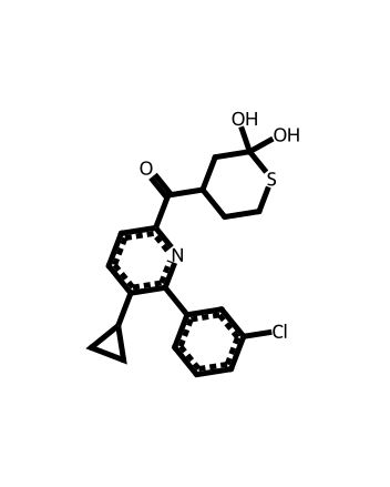 O=C(c1ccc(C2CC2)c(-c2cccc(Cl)c2)n1)C1CCSC(O)(O)C1